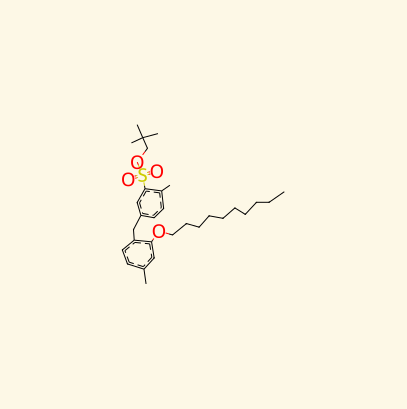 CCCCCCCCCCOc1cc(C)ccc1Cc1ccc(C)c(S(=O)(=O)OCC(C)(C)C)c1